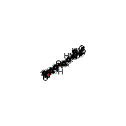 COC(=O)N[C@H](C(=O)N1CCCC1c1ncc(-c2ccc(-c3ccc(NC(=O)c4ccc(N5CCN(C(=O)C6(C)CCCN6C(C)=O)CC5C)nc4)cc3C)cc2)[nH]1)C(C)C